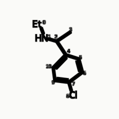 CCNC(C)c1ccc(Cl)cc1